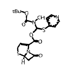 CN(C(=O)OC(C)(C)C)C(OC(=O)C1=CCS[C@H]2CC(=O)N12)Sc1ccncc1